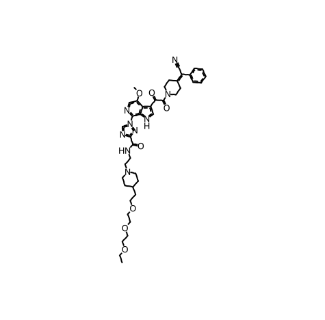 CCOCCOCCOCCC1CCN(CCNC(=O)c2ncn(-c3ncc(OC)c4c(C(=O)C(=O)N5CCC(=C(C#N)c6ccccc6)CC5)c[nH]c34)n2)CC1